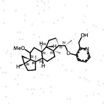 COC1C[C@H]2[C@@H]3CC[C@H]([C@H](C)Oc4cccnc4CO)[C@@]3(C)CC[C@@H]2[C@@]2(C)CC[C@@H]3C[C@]132